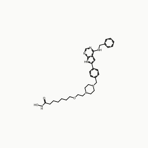 O=C(CCCCCCOCCN1CCN(Cc2ccc(-c3cc4c(NCc5ccccc5)ncnc4[nH]3)cc2)CC1)NO